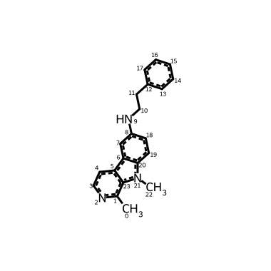 Cc1nccc2c3cc(NCCc4ccccc4)ccc3n(C)c12